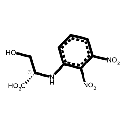 O=C(O)[C@H](CO)Nc1cccc([N+](=O)[O-])c1[N+](=O)[O-]